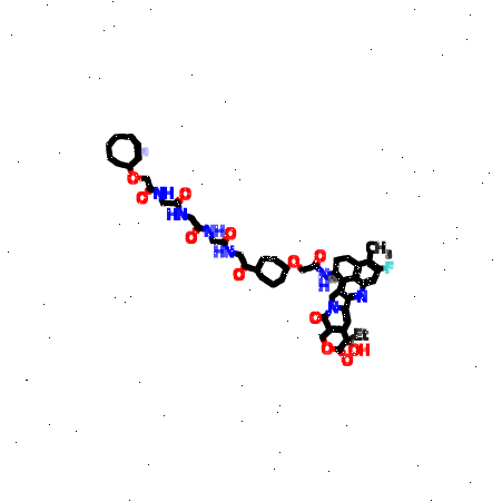 CC[C@@]1(O)C(=O)OCc2c1cc1n(c2=O)Cc2c-1nc1cc(F)c(C)c3c1c2[C@@H](NC(=O)COC1CCCC(C(=O)CNC(=O)CNC(=O)CNC(=O)CNC(=O)COC2/C=C\CCCCC2)CC1)CC3